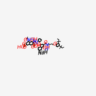 CCC(C)(C)c1ccc(OCCCCNC(=O)c2cc(Oc3ccccc3N=Nc3c(S(=O)(=O)O)cc4cc(S(=O)(=O)O)cc(NC(C)=O)c4c3O)c3ccccc3c2O)c(C(C)(C)CC)c1.[NaH].[NaH]